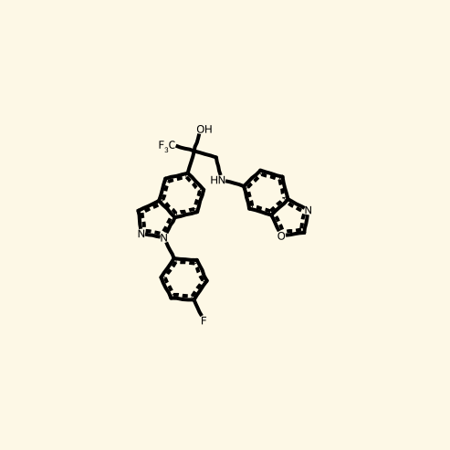 OC(CNc1ccc2ncoc2c1)(c1ccc2c(cnn2-c2ccc(F)cc2)c1)C(F)(F)F